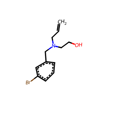 C=CCN(CCO)Cc1cccc(Br)c1